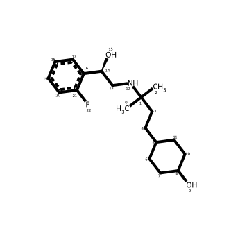 CC(C)(CCC1CCC(O)CC1)NC[C@H](O)c1ccccc1F